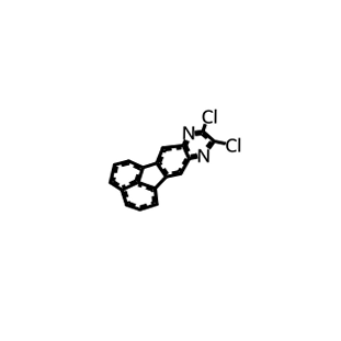 Clc1nc2cc3c(cc2nc1Cl)-c1cccc2cccc-3c12